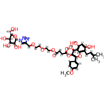 COc1ccc(-c2oc3c(CC=C(C)C)c(O)cc(O)c3c(=O)c2OC(=O)CCC(=O)OCCOCCOCc2cn([C@H]3O[C@@H](CO)[C@H](O)[C@@H](O)[C@@H]3O)nn2)cc1